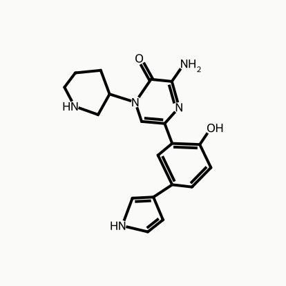 Nc1nc(-c2cc(-c3cc[nH]c3)ccc2O)cn(C2CCCNC2)c1=O